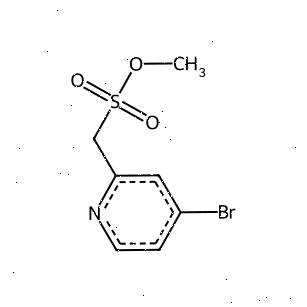 COS(=O)(=O)Cc1cc(Br)ccn1